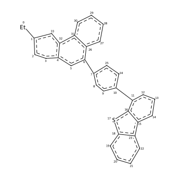 CCc1ccc2cc(-c3ccc(-c4cccc5c4sc4ccccc45)cc3)c3ccccc3c2c1